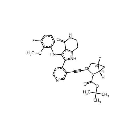 COc1c(F)cccc1Nc1c(-c2ccncc2C#C[C@H]2C[C@@H]3C[C@@H]3N2C(=O)OC(C)(C)C)[nH]c2c1C(=O)NCC2